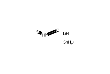 O=[PH]=S.[LiH].[SnH2]